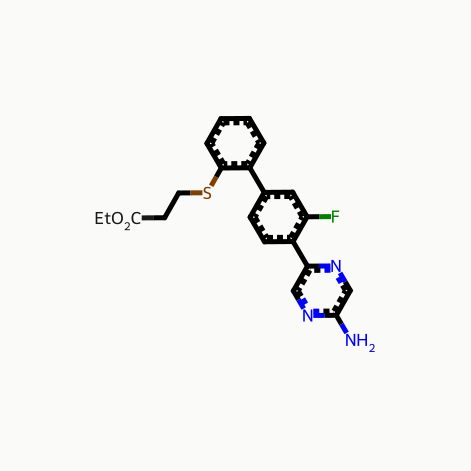 CCOC(=O)CCSc1ccccc1-c1ccc(-c2cnc(N)cn2)c(F)c1